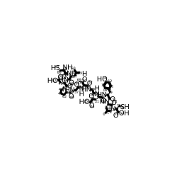 CC(C)C[C@H](NC(=O)[C@H](Cc1ccc(O)cc1)NC(=O)[C@H](CCC(=O)O)NC(=O)CNC(=O)[C@@H](NC(=O)CNC(=O)[C@@H]1CCCN1C(=O)[C@H](CC(=O)O)NC(=O)[C@H](CC(C)C)NC(=O)[C@@H](N)CS)[C@@H](C)O)C(=O)N[C@@H](CS)C(=O)O